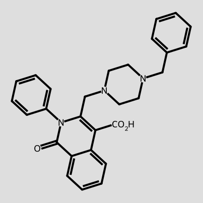 O=C(O)c1c(CN2CCN(Cc3ccccc3)CC2)n(-c2ccccc2)c(=O)c2ccccc12